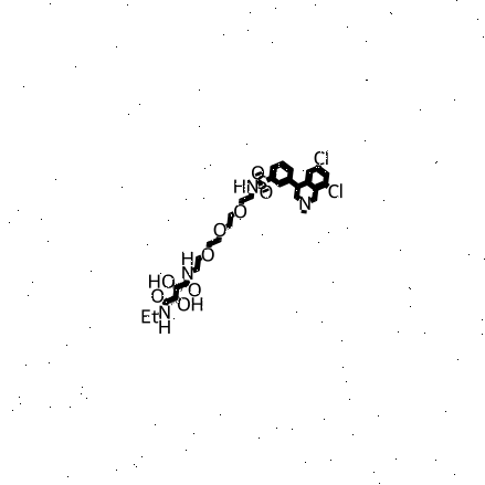 CCNC(=O)[C@H](O)[C@H](O)C(=O)NCCOCCOCCOCCNS(=O)(=O)c1cccc(C2CN(C)Cc3c(Cl)cc(Cl)cc32)c1